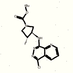 CC(C)(C)OC(=O)N1C[C@@H](F)[C@H](Nc2nnc(Cl)c3cccnc23)C1